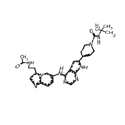 CC(=O)NCCc1cnc2ccc(Nc3ncnc4[nH]c(C5=CCN(C(=O)NC(C)(C)C)CC5)cc34)cn12